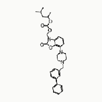 CC(C)CC(C)OC(=O)OCn1c(=O)oc2c(N3CCN(Cc4cccc(-c5ccccc5)c4)CC3)cccc21